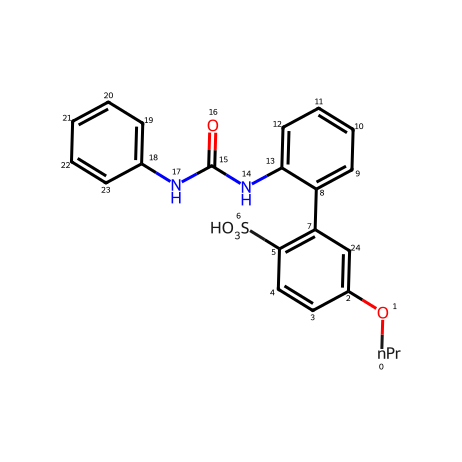 CCCOc1ccc(S(=O)(=O)O)c(-c2ccccc2NC(=O)Nc2ccccc2)c1